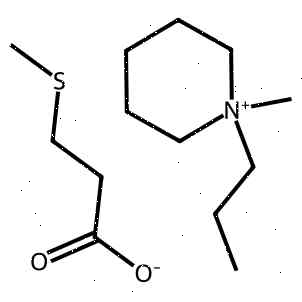 CCC[N+]1(C)CCCCC1.CSCCC(=O)[O-]